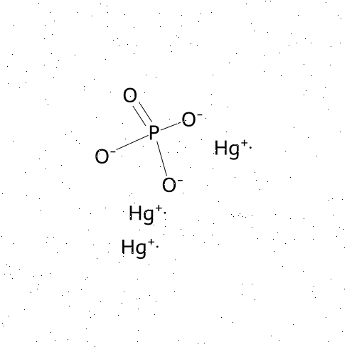 O=P([O-])([O-])[O-].[Hg+].[Hg+].[Hg+]